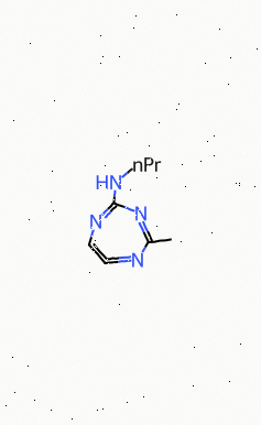 CCCNC1=NC=C=NC(C)=N1